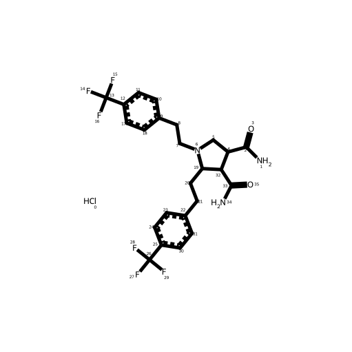 Cl.NC(=O)C1CN(CCc2ccc(C(F)(F)F)cc2)C(CCc2ccc(C(F)(F)F)cc2)C1C(N)=O